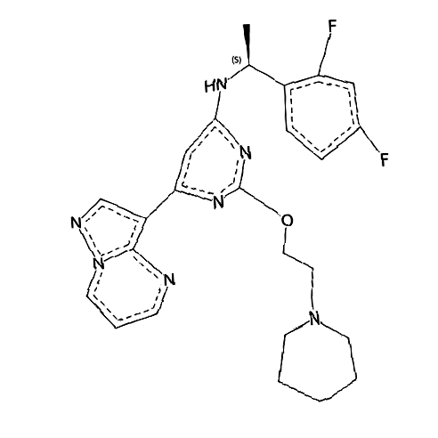 C[C@H](Nc1cc(-c2cnn3cccnc23)nc(OCCN2CCCCC2)n1)c1ccc(F)cc1F